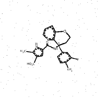 Cc1ccc([C@@]2(NC(=O)c3cc(C(=O)O)c(C)[nH]3)CCOc3cccnc32)cc1F